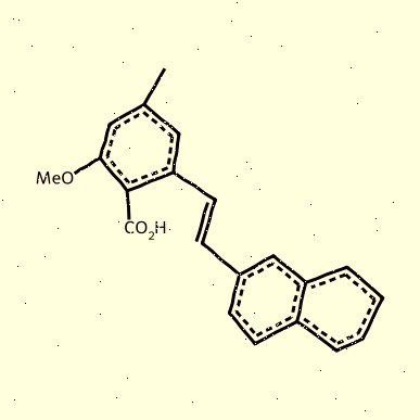 COc1cc(C)cc(C=Cc2ccc3ccccc3c2)c1C(=O)O